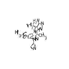 COc1ccc2c(C(C)n3nc(C)c4c(N)ncnc43)nn(-c3cccnc3)c2c1